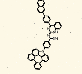 N=C(/N=c1/nc(-c2ccc(-c3ccc4ccccc4c3)cc2)c2ccccc2[nH]1)c1ccc(-n2c3cccc4c3c3c5c(cccc5ccc32)-c2ccccc2-4)cc1